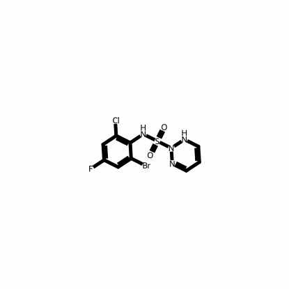 O=S(=O)(Nc1c(Cl)cc(F)cc1Br)N1N=CC=CN1